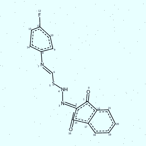 O=c1c(=NNS/C=N/c2ccc(F)cc2)c(=O)c2ccccc12